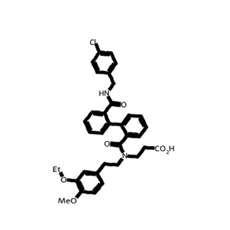 CCOc1cc(CCN(CCC(=O)O)C(=O)c2ccccc2-c2ccccc2C(=O)NCc2ccc(Cl)cc2)ccc1OC